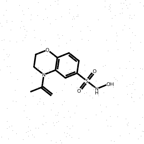 C=C(C)N1CCOc2ccc(S(=O)(=O)NO)cc21